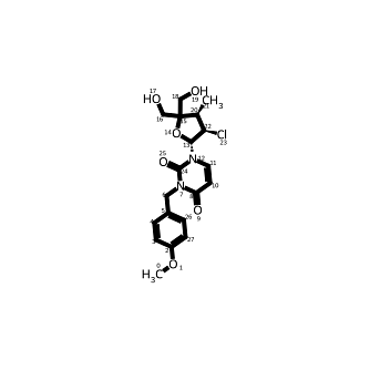 COc1ccc(Cn2c(=O)ccn([C@@H]3OC(CO)(CO)[C@@H](C)[C@H]3Cl)c2=O)cc1